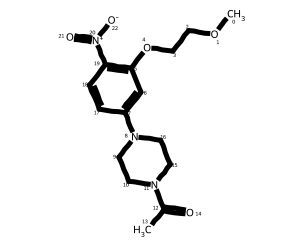 COCCOc1cc(N2CCN(C(C)=O)CC2)ccc1[N+](=O)[O-]